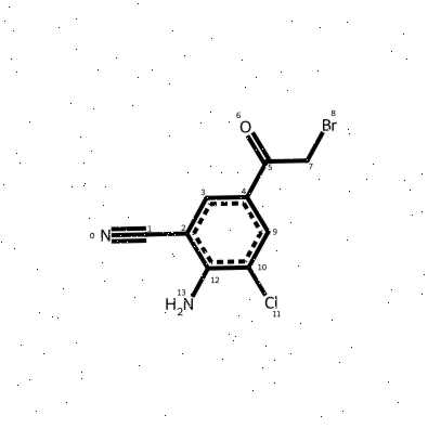 N#Cc1cc(C(=O)CBr)cc(Cl)c1N